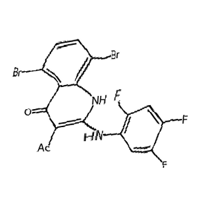 CC(=O)c1c(Nc2cc(F)c(F)cc2F)[nH]c2c(Br)ccc(Br)c2c1=O